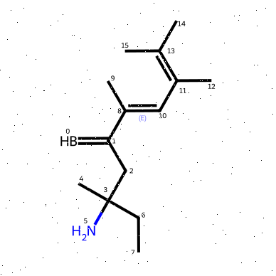 B=C(CC(C)(N)CC)/C(C)=C/C(C)=C(C)C